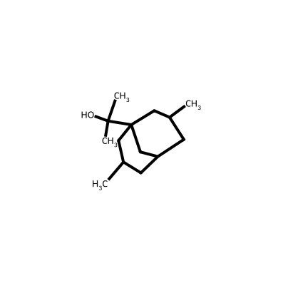 CC1CC2CC(C)CC(C(C)(C)O)(C1)C2